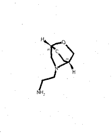 NCCN1C[C@H]2CC[C@@H]1CO2